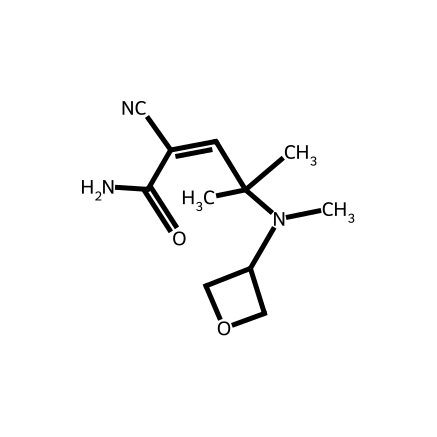 CN(C1COC1)C(C)(C)C=C(C#N)C(N)=O